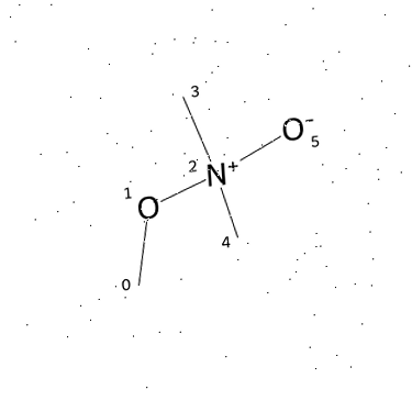 CO[N+](C)(C)[O-]